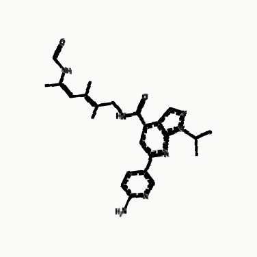 C/C(=C/C(C)=C(\C)CNC(=O)c1cc(-c2ccc(N)nc2)nc2c1cnn2C(C)C)NC=O